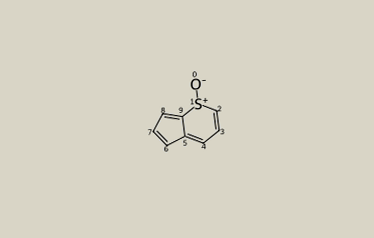 [O-][s+]1cccc2cccc1-2